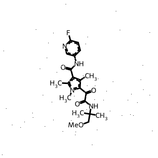 COCC(C)(C)NC(=O)C(=O)c1c(C)c(C(=O)Nc2ccc(F)nc2)c(C)n1C